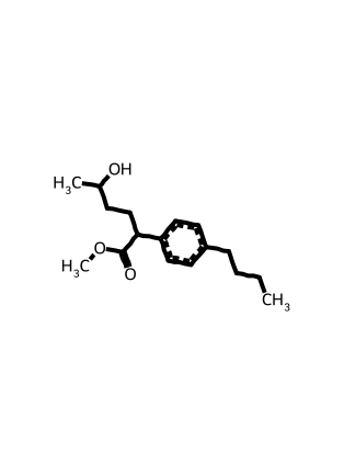 CCCCc1ccc(C(CCC(C)O)C(=O)OC)cc1